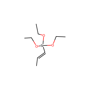 CC=C[Si](OCC)(OCC)OCC